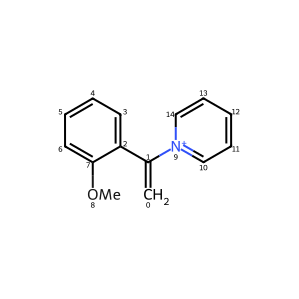 C=C(c1ccccc1OC)[n+]1ccccc1